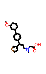 COc1cccc(-c2ccc(/C(=C/CN(C)CC(=O)O)c3ccsc3)cc2)c1